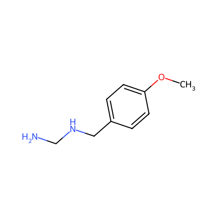 COc1ccc(CNCN)cc1